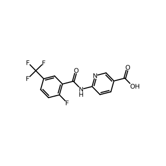 O=C(O)c1ccc(NC(=O)c2cc(C(F)(F)F)ccc2F)nc1